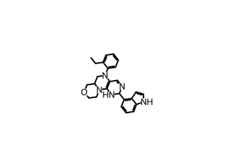 CCc1ccccc1N1CC2COCCN2C2=C1C=NC(c1cccc3[nH]ccc13)N2